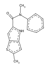 Cc1cc2[nH]c(C(=O)N(C)c3ccccc3)cc2s1